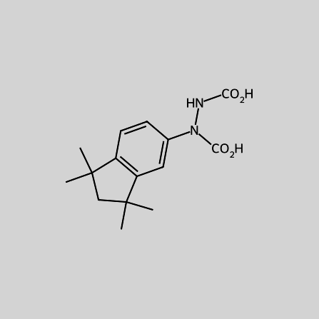 CC1(C)CC(C)(C)c2cc(N(NC(=O)O)C(=O)O)ccc21